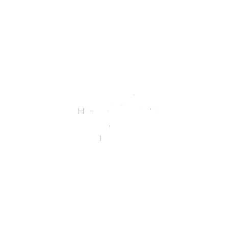 O=C1C2CC3CC1C(CO)C(F)(C3)C2